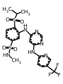 CNS(=O)(=O)c1ccc(S(=O)(=O)C(C)C)c(Nc2cc(Nc3ccc(C(F)(F)F)cn3)ncn2)c1